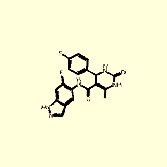 CC1=C(C(=O)Nc2cc3cn[nH]c3cc2F)C(c2ccc(F)cc2)NC(=O)N1